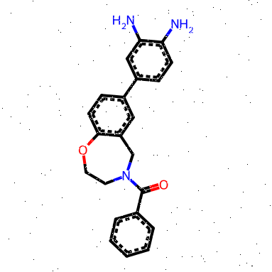 Nc1ccc(-c2ccc3c(c2)CN(C(=O)c2ccccc2)CCO3)cc1N